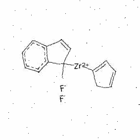 C[C]1([Zr+2][C]2=CC=CC2)C=Cc2ccccc21.[F-].[F-]